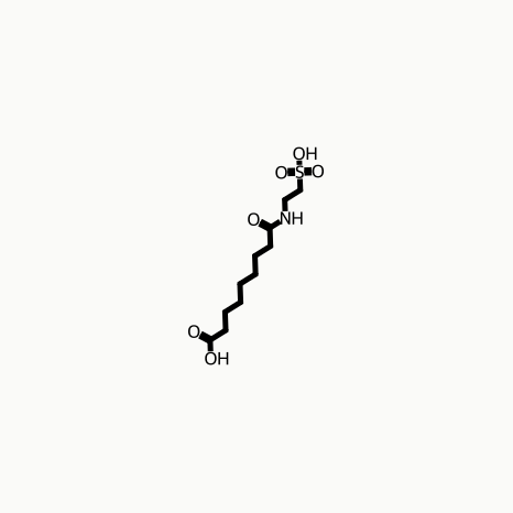 O=C(O)CCCCCCCC(=O)NCCS(=O)(=O)O